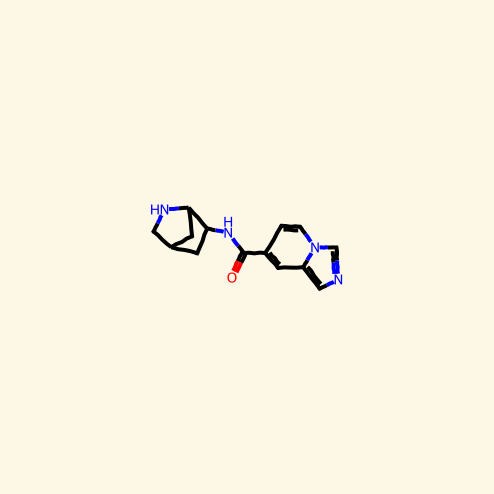 O=C(NC1CC2CNC1C2)c1ccn2cncc2c1